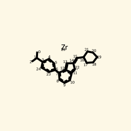 CC(C)c1ccc(-c2cccc3c2=CC(=CC2CCCCC2)[C]=3)cc1.[Zr]